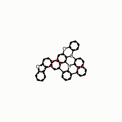 c1ccc(-c2cccc(-c3ccccc3)c2N2c3ccccc3B3c4ccccc4Oc4cc(-c5ccc6oc7ccccc7c6c5)cc2c43)cc1